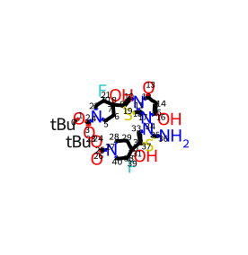 CC(C)(C)OC(=O)N1CC[C@@](O)(c2cn3c(=O)cc(O)nc3s2)[C@H](F)C1.CC(C)(C)OC(=O)N1CC[C@@](O)(c2cnc(N)s2)[C@H](F)C1